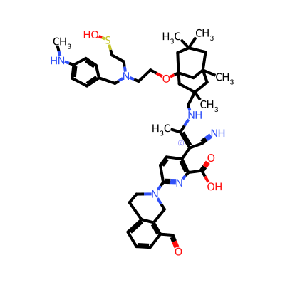 CNc1ccc(CN(CCOC23CC(C)(C)CC(C)(CC(C)(CN/C(C)=C(\C=N)c4ccc(N5CCc6cccc(C=O)c6C5)nc4C(=O)O)C2)C3)CCSO)cc1